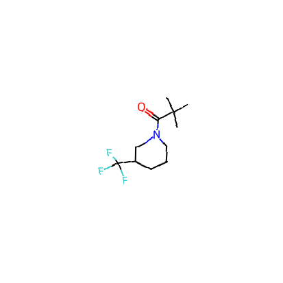 CC(C)(C)C(=O)N1CCCC(C(F)(F)F)C1